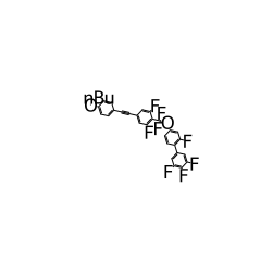 CCCCOc1ccc(C#Cc2cc(F)c(C(F)(F)Oc3ccc(-c4cc(F)c(F)c(F)c4)c(F)c3)c(F)c2)cc1